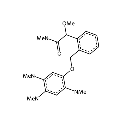 CNC(=O)C(OC)c1ccccc1COc1cc(NC)c(NC)cc1NC